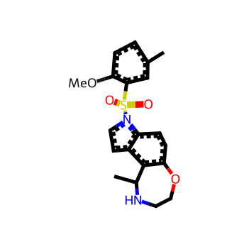 COc1ccc(C)cc1S(=O)(=O)n1ccc2c3c(ccc21)OCCNC3C